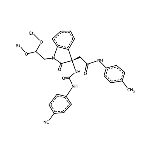 CCOC(CN1C(=O)[C@@](CC(=O)Nc2ccc(C)cc2)(NC(=O)Nc2ccc(C#N)cc2)c2ccccc21)OCC